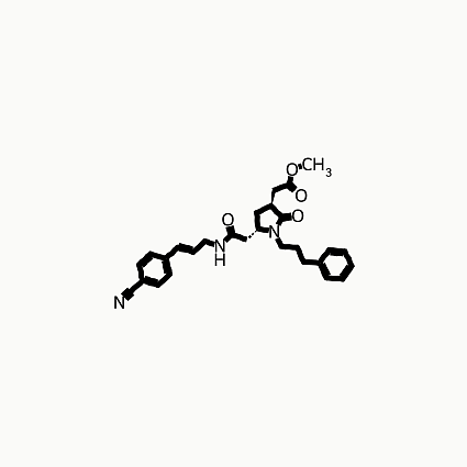 COC(=O)C[C@@H]1C[C@@H](CC(=O)NC/C=C/c2ccc(C#N)cc2)N(CCCc2ccccc2)C1=O